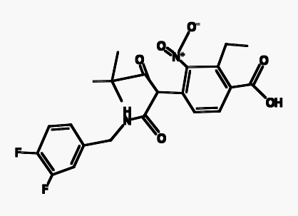 CCc1c(C(=O)O)ccc(C(C(=O)NCc2ccc(F)c(F)c2)C(=O)C(C)(C)C)c1[N+](=O)[O-]